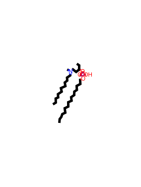 CCCCCCCCCCCCCCCCOP(=O)(O)OC(CC)CCN(C)CCCCCCCCCCCC